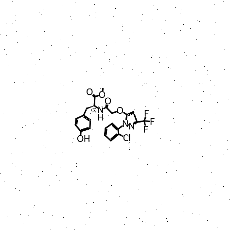 COC(=O)[C@H](Cc1ccc(O)cc1)NC(=O)COc1cc(C(F)(F)F)nn1-c1ccccc1Cl